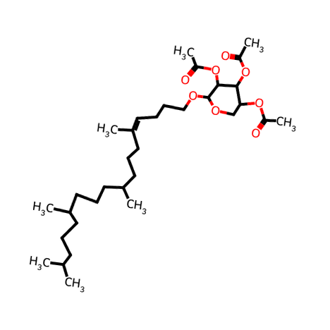 CC(=O)OC1COC(OCCCC=C(C)CCCC(C)CCCC(C)CCCC(C)C)C(OC(C)=O)C1OC(C)=O